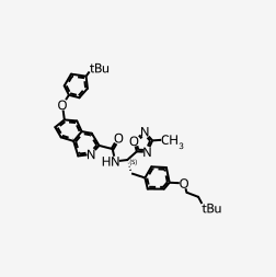 Cc1noc([C@H](Cc2ccc(OCCC(C)(C)C)cc2)NC(=O)c2cc3cc(Oc4ccc(C(C)(C)C)cc4)ccc3cn2)n1